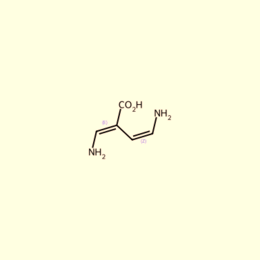 N/C=C\C(=C/N)C(=O)O